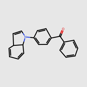 O=C(c1ccccc1)c1ccc(N2C=CC3C=CC=CC32)cc1